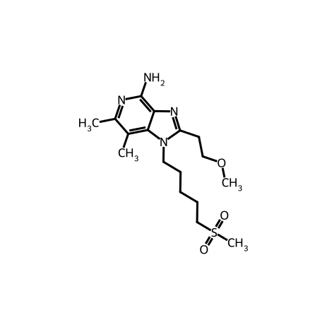 COCCc1nc2c(N)nc(C)c(C)c2n1CCCCCS(C)(=O)=O